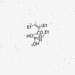 CCC=C(CC)C(=O)OCC.OP(O)O